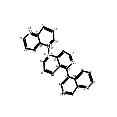 c1cnc2cncc(-c3nccc4c3ccc[n+]4-[n+]3cccc4ncccc43)c2c1